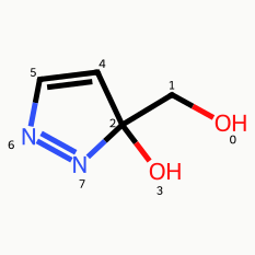 OCC1(O)C=CN=N1